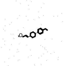 CCc1ccc([C@H]2CC[C@H](C=CCOC)CC2)cc1